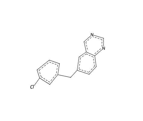 Clc1cccc(Cc2ccc3ncncc3c2)c1